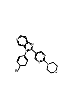 BrC1C=CC(n2c(-c3cnc(N4CCOCC4)nc3)nc3ccncc32)=CC1